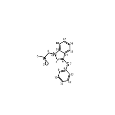 CC(=O)Cn1cc(Sc2ccccc2)c2ccccc21